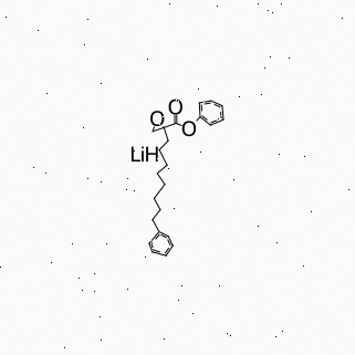 O=C(Oc1ccccc1)C1(CCCCCCCCc2ccccc2)CO1.[LiH]